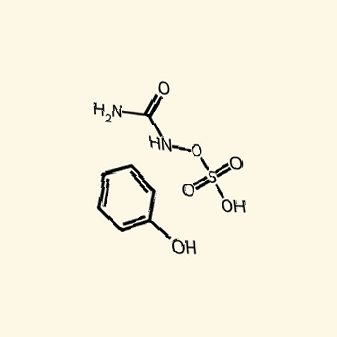 NC(=O)NOS(=O)(=O)O.Oc1ccccc1